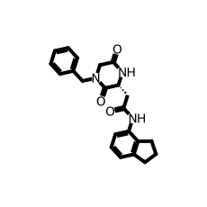 O=C(C[C@H]1NC(=O)CN(Cc2ccccc2)C1=O)Nc1cccc2c1CCC2